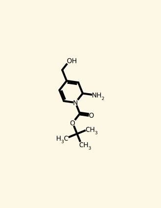 CC(C)(C)OC(=O)N1C=CC(CO)=CC1N